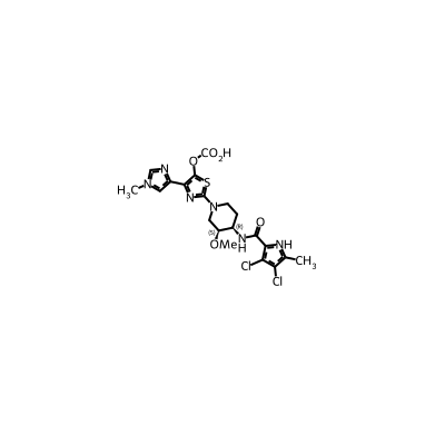 CO[C@H]1CN(c2nc(-c3cn(C)cn3)c(OC(=O)O)s2)CC[C@H]1NC(=O)c1[nH]c(C)c(Cl)c1Cl